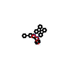 c1ccc(-c2ccc(N(c3ccc4c(c3)C3(c5ccccc5-c5ccc(N(c6ccccc6)c6ccccc6)cc53)c3ccccc3-4)c3ccc4ccccc4c3)cc2)cc1